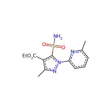 CCOC(=O)c1c(C)nn(-c2cccc(C)n2)c1S(N)(=O)=O